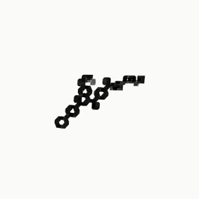 O=C(O)CCNC(=O)c1ccc(C(=O)C(=CC(=O)c2ccc(C3CCCCC3)cc2)c2ccc(OC(F)(F)F)cc2)cc1